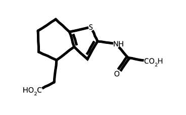 O=C(O)CC1CCCc2sc(NC(=O)C(=O)O)cc21